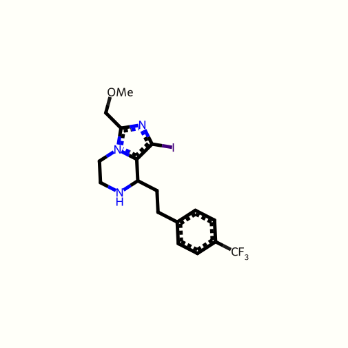 COCc1nc(I)c2n1CCNC2CCc1ccc(C(F)(F)F)cc1